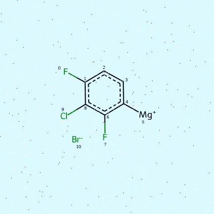 Fc1cc[c]([Mg+])c(F)c1Cl.[Br-]